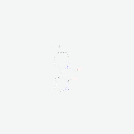 COc1ncccc1C1=CCC(C)(C)CCN1C=O